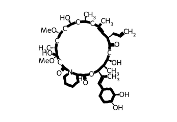 C=CC[C@@H]1/C=C(\C)C[C@H](C)C[C@H](O)C[C@@H](OC)C[C@@H](C)[C@@](O)(OC)CC(=O)N2CCCC[C@H]2C(=O)O[C@H](/C(C)=C/C2CC[C@@H](O)[C@H](O)C2)[C@H](C)[C@H](O)CC1=O